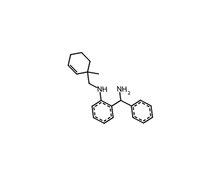 CC1(CNc2ccccc2C(N)c2ccccc2)C=CCCC1